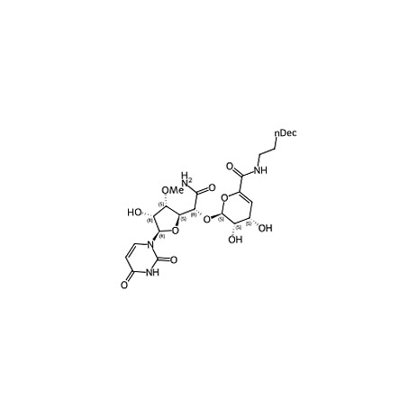 CCCCCCCCCCCCNC(=O)C1=C[C@H](O)[C@H](O)[C@@H](O[C@@H](C(N)=O)[C@H]2O[C@@H](n3ccc(=O)[nH]c3=O)[C@H](O)[C@@H]2OC)O1